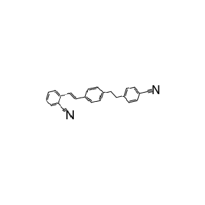 N#Cc1ccc(CCc2ccc(/C=C/c3ccccc3C#N)cc2)cc1